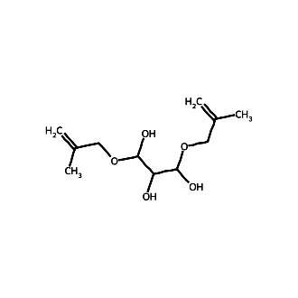 C=C(C)COC(O)C(O)C(O)OCC(=C)C